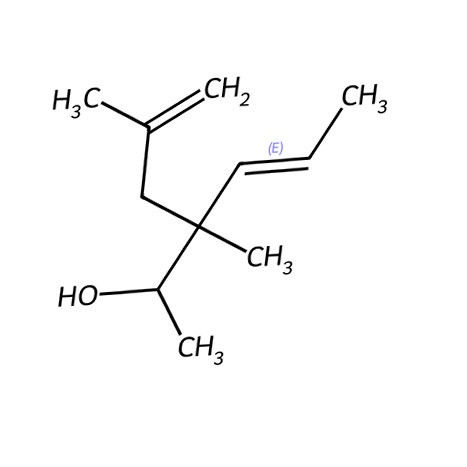 C=C(C)CC(C)(/C=C/C)C(C)O